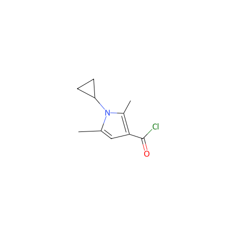 Cc1cc(C(=O)Cl)c(C)n1C1CC1